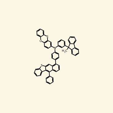 CC1(c2cccc(N(c3ccc(-c4cccc5c(-c6ccccc6)c6c(cc45)sc4ccccc46)cc3)c3ccc4c(c3)Sc3ccccc3O4)c2)c2ccccc2-c2ccccc21